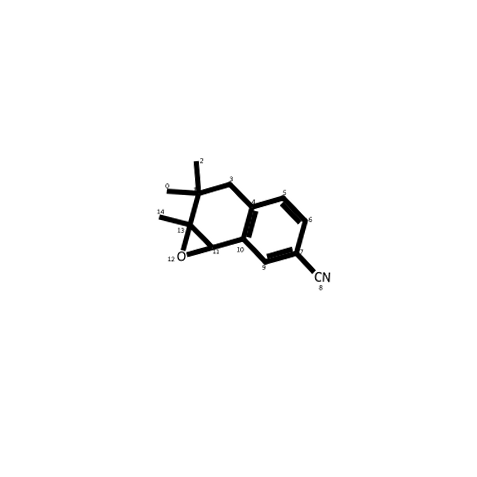 CC1(C)Cc2ccc(C#N)cc2C2OC21C